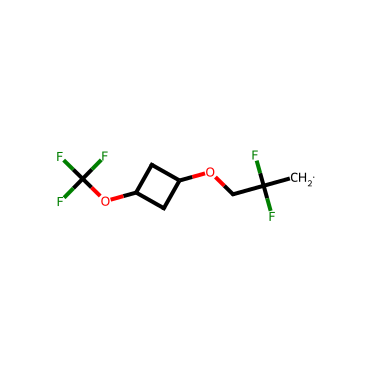 [CH2]C(F)(F)COC1CC(OC(F)(F)F)C1